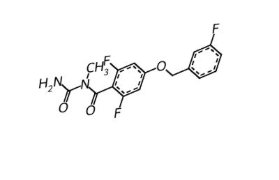 CN(C(N)=O)C(=O)c1c(F)cc(OCc2cccc(F)c2)cc1F